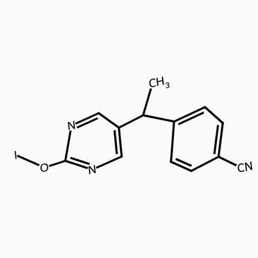 CC(c1ccc(C#N)cc1)c1cnc(OI)nc1